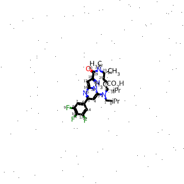 CC(C)CN(c1cc(-c2cc(F)c(F)c(F)c2)nc2cc(C(=O)N(C)[C@H](C)CC(=O)O)nn12)[C@H](C)C(C)C